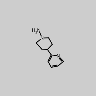 NN1CCC(c2ccccn2)CC1